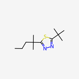 CCCC(C)(C)c1nnc(C(C)(C)C)s1